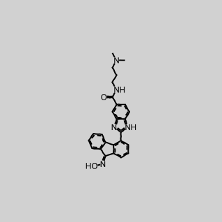 CN(C)CCCNC(=O)c1ccc2[nH]c(-c3cccc4c3-c3ccccc3C4=NO)nc2c1